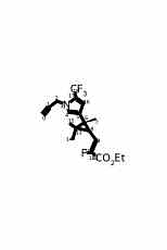 C#CCn1cc([C@]2(C)C(C=C(F)C(=O)OCC)C2(C)C)cc1C(F)(F)F